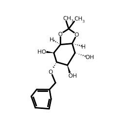 CC1(C)O[C@@H]2[C@H](O)[C@@H](OCc3ccccc3)[C@H](O)[C@@H](O)[C@@H]2O1